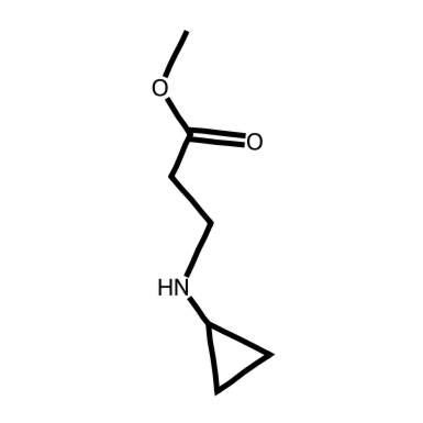 COC(=O)CCNC1CC1